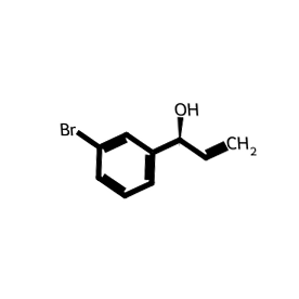 C=C[C@H](O)c1cccc(Br)c1